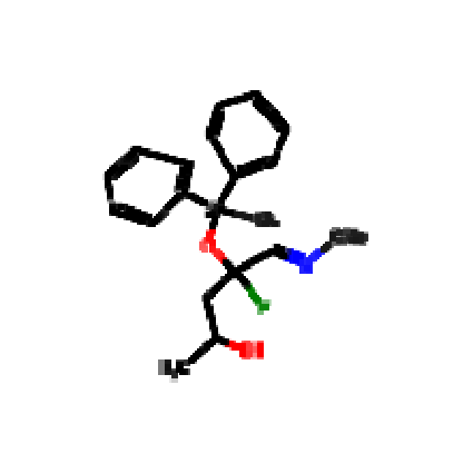 CON=CC(F)(CC(C)O)O[Si](c1ccccc1)(c1ccccc1)C(C)(C)C